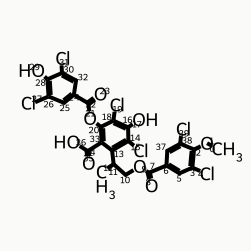 COc1c(Cl)cc(C(=O)OCC(C)c2c(Cl)c(O)c(Cl)c(OC(=O)c3cc(Cl)c(O)c(Cl)c3)c2C(=O)O)cc1Cl